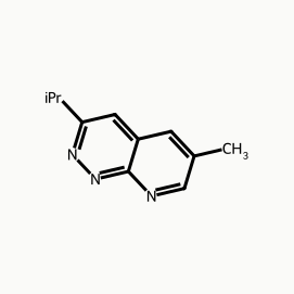 Cc1cnc2nnc(C(C)C)cc2c1